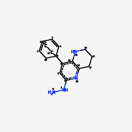 NNc1cc(C23C=CC(=CC2)CC3)c2c(n1)CCCN2